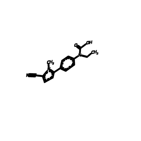 CCN(C(=O)O)c1ccc(-c2ccc(C#N)n2C)cc1